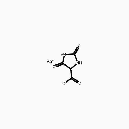 O=C1NC(=O)C(C(=O)[O-])N1.[Ag+]